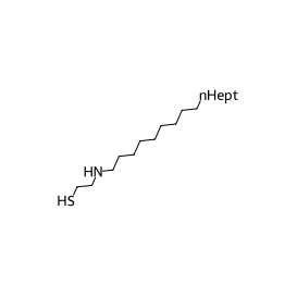 CCCCCCCCCCCCCCCCNCCS